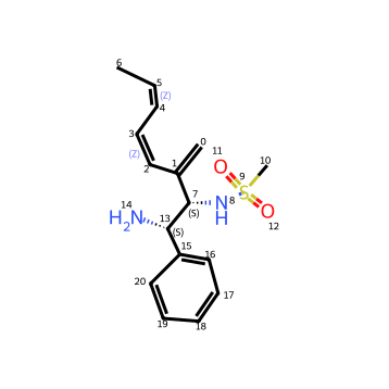 C=C(/C=C\C=C/C)[C@H](NS(C)(=O)=O)[C@@H](N)c1ccccc1